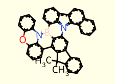 CC1(C)c2ccccc2-c2cc3c4c(c21)-c1cccc2c1N(B4c1cccc4c5ccc6ccccc6c5n-3c14)c1ccccc1O2